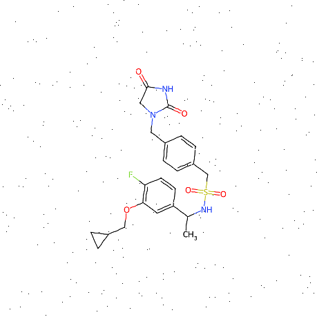 CC(NS(=O)(=O)Cc1ccc(CN2CC(=O)NC2=O)cc1)c1ccc(F)c(OCC2CC2)c1